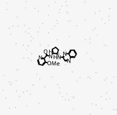 COc1cccnc1C(=O)NC1CCC[C@@H]1Nc1cnc2ccccc2n1